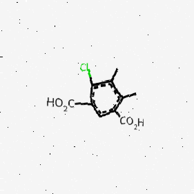 Cc1c(C(=O)O)cc(C(=O)O)c(Cl)c1C